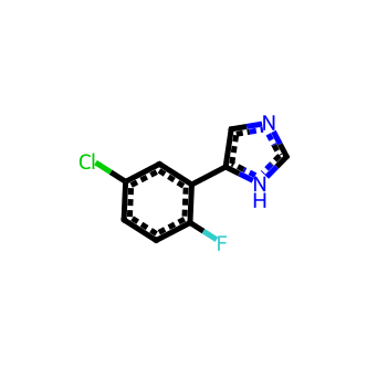 Fc1ccc(Cl)cc1-c1cnc[nH]1